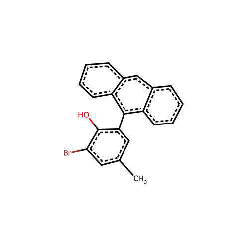 Cc1cc(Br)c(O)c(-c2c3ccccc3cc3ccccc23)c1